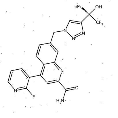 CCC[C@](O)(c1cn(Cc2ccc3c(-c4cccnc4F)cc(C(N)=O)nc3c2)nn1)C(F)(F)F